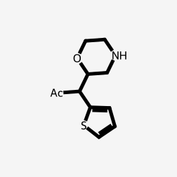 CC(=O)C(c1cccs1)C1CNCCO1